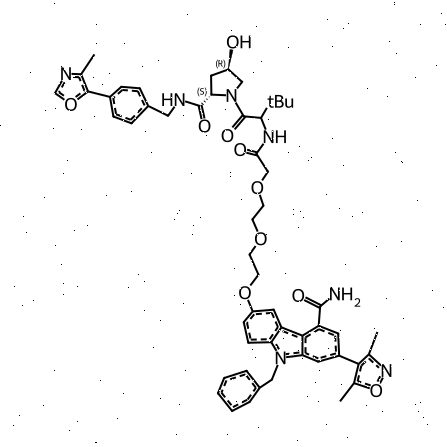 Cc1ncoc1-c1ccc(CNC(=O)[C@@H]2C[C@@H](O)CN2C(=O)C(NC(=O)COCCOCCOc2ccc3c(c2)c2c(C(N)=O)cc(-c4c(C)noc4C)cc2n3Cc2ccccc2)C(C)(C)C)cc1